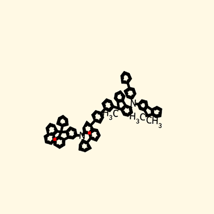 CC1(C)c2ccccc2-c2ccc(N(c3ccc(-c4ccccc4)cc3)c3cccc4c3-c3ccccc3C4(C)c3cccc(-c4ccc(-c5ccc(N(c6ccc7c(c6)-c6ccccc6C7(c6ccccc6)c6cccc7ccccc67)c6ccccc6-c6ccccc6)cc5)cc4)c3)cc21